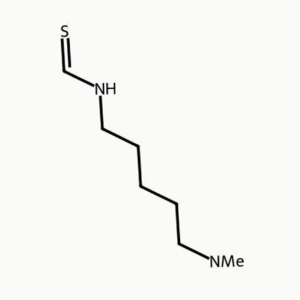 CNCCCCCNC=S